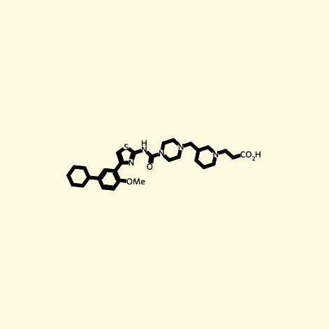 COc1ccc(C2CCCCC2)cc1-c1csc(NC(=O)N2CCN(CC3CCCN(CCC(=O)O)C3)CC2)n1